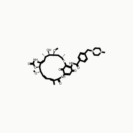 CO[C@H]1/C=C\C=C(/C)C(=O)NC2=CC(=O)C(NC(=O)c3ccc(CN4CCN(C)CC4)cc3)=C(C[C@@H](C)C[C@H](OC)[C@H](O)[C@@H](C)/C=C(\C)[C@@H]1OC(N)=O)C2=O